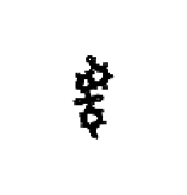 Cc1ccc(S(=O)(=O)n2ccc3c2ccc[n+]3[O-])cc1